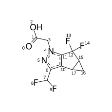 O=C(O)Cn1nc(C(F)F)c2c1C(F)(F)C1CC21